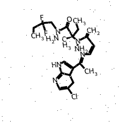 C=C(/C=C\N=C(/C)C1=CNC2=NC=C(Cl)CC12)N(N)[C@@](C)(CC)C(=O)N(N)CC(F)(F)CC